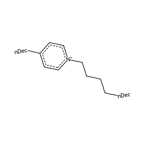 CCCCCCCCCCCCCC[n+]1ccc(CCCCCCCCCC)cc1